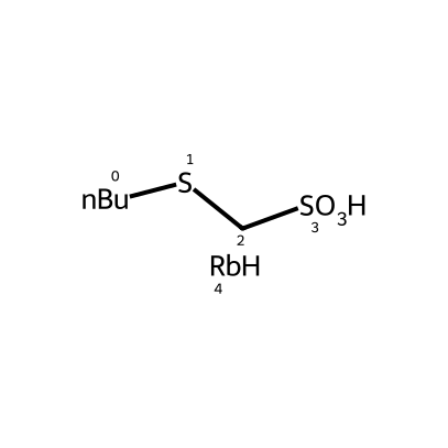 CCCCSCS(=O)(=O)O.[RbH]